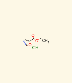 CCOC(=O)c1cnco1.Cl